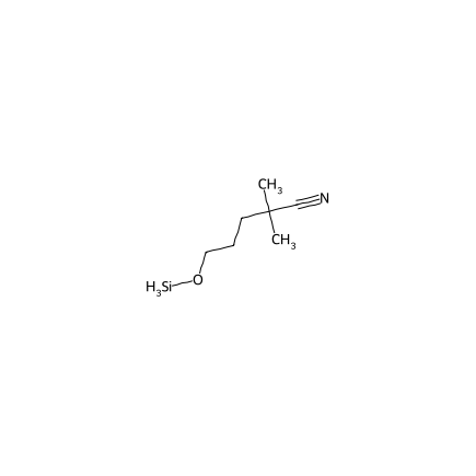 CC(C)(C#N)CCCO[SiH3]